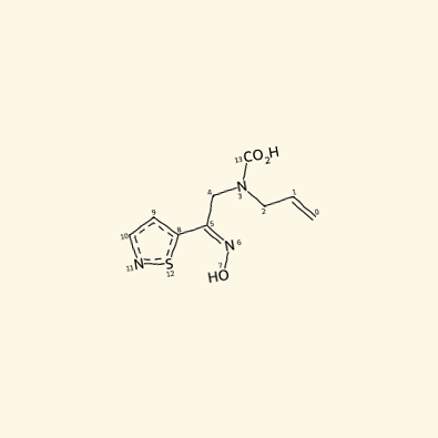 C=CCN(C/C(=N/O)c1ccns1)C(=O)O